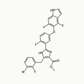 COC(=O)c1nc(-c2cc(Oc3c(F)cc4[nH]ccc4c3F)ccc2F)[nH]c1Cc1cccc(Br)c1F